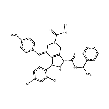 CCNC(=O)N1CC2=C(/C(=C/c3ccc(OC)cc3)C1)N(c1ccc(Cl)cc1Cl)NC2C(=O)NC(C)c1ccccn1